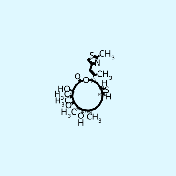 CC(=Cc1csc(C)n1)[C@@H]1C[C@@H]2S[C@@H]2CCC[C@H](C)[C@H](O)[C@@H](C)C(=O)C(C)(C)[C@@H](O)CC(=O)O1